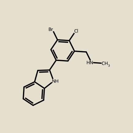 CNCc1cc(-c2cc3ccccc3[nH]2)cc(Br)c1Cl